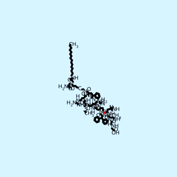 CCCCCCCCCCCCCCCCNC(=O)CN(CC(N)=O)C(=O)CCCCCNC(=O)C(Cc1c[nH]c2ccccc12)NC(=O)C(CCNC(=N)N)NC(=O)C(CSCC)NC(=O)C(CCCNC(=N)N)NC(=O)CC1CCCN1C(=O)C(NC(=O)C(Cc1c[nH]cn1)NC(=O)C(NC(=O)CNCC(=O)O)C(C)O)C(c1ccccc1)c1ccccc1